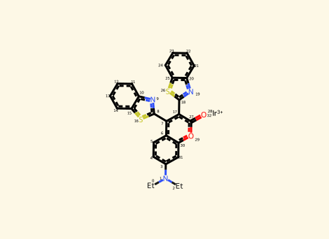 CCN(CC)c1ccc2c(-c3nc4ccccc4s3)c(-c3nc4ccccc4s3)c(=O)oc2c1.[Ir+3]